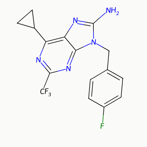 Nc1nc2c(C3CC3)nc(C(F)(F)F)nc2n1Cc1ccc(F)cc1